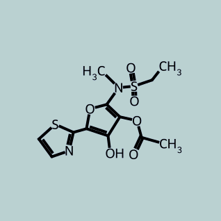 CCS(=O)(=O)N(C)c1oc(-c2nccs2)c(O)c1OC(C)=O